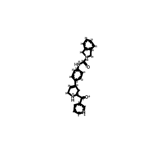 O=C(c1cccnc1)C1CC(c2ccc(NC(=O)N3Cc4ccccc4C3)cc2)=CCN1